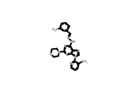 Cc1cccc(/C=N/Nc2nc(N3CCOCC3)nc3c2ncn3-c2ncccc2C)c1